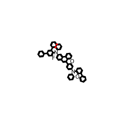 Fc1cc(-c2ccccc2)cc(-c2ccccc2)c1N(c1ccccc1)c1ccc2cc3c4c(cccc4c2c1)Oc1cc(N(c2ccccc2)c2cccc4c2oc2ccccc24)ccc1-3